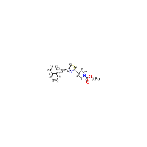 CC(C)(C)OC(=O)N1CCC(c2nc(C#Cc3cccc4ccccc34)cs2)CC1